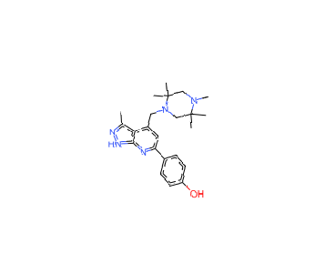 Cc1n[nH]c2nc(-c3ccc(O)cc3)cc(CN3CC(C)(C)N(C)CC3(C)C)c12